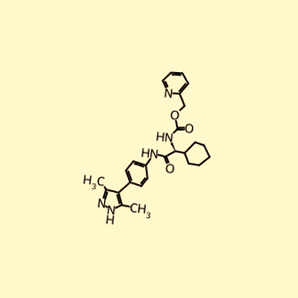 Cc1n[nH]c(C)c1-c1ccc(NC(=O)[C@@H](NC(=O)OCc2ccccn2)C2CCCCC2)cc1